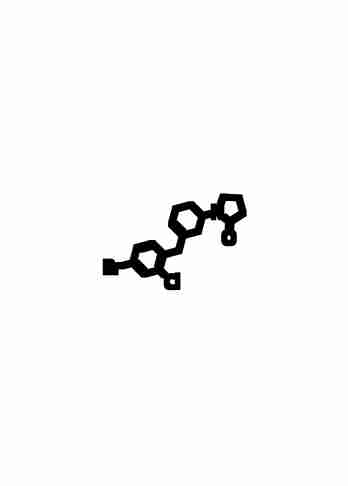 O=C1CCCN1C1CCC=C(Cc2ccc(Br)cc2Cl)C1